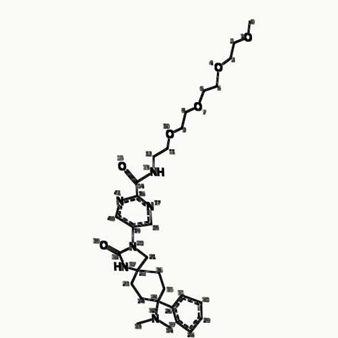 COCCOCCOCCOCCNC(=O)c1ncc(N2CC3(CCC(c4ccccc4)(N(C)C)CC3)NC2=O)cn1